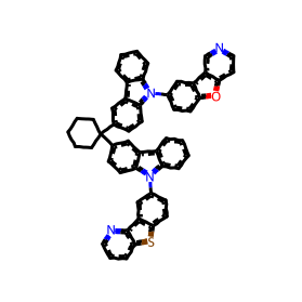 c1cnc2c(c1)sc1ccc(-n3c4ccccc4c4cc(C5(c6ccc7c(c6)c6ccccc6n7-c6ccc7oc8ccncc8c7c6)CCCCC5)ccc43)cc12